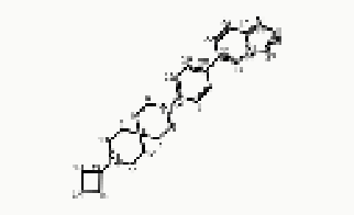 c1cc(N2CCC3(CC2)CCN(C2CCC2)CC3)ccc1-c1ccc2nncn2c1